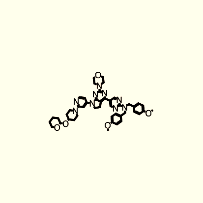 COc1ccc(CN(Cc2ccc(OC)cc2)c2ncc(-c3nc(N4CCOCC4)nc4c3CCN4c3ccnc(N4CCC(OC5CCCCO5)CC4)c3)cn2)cc1